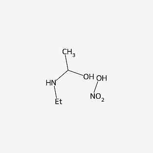 CCNC(C)O.O=[N+]([O-])O